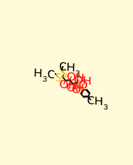 CCSC(SCC)[C@H](O)[C@@H](O)[C@@H](O)C(O)S(=O)(=O)c1ccc(C)cc1